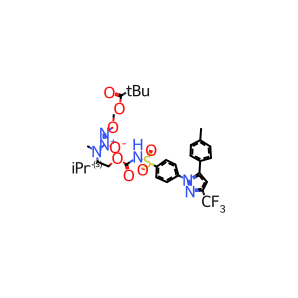 Cc1ccc(-c2cc(C(F)(F)F)nn2-c2ccc(S(=O)(=O)NC(=O)OC[C@H](C(C)C)N(C)[N+]([O-])=NOCOC(=O)C(C)(C)C)cc2)cc1